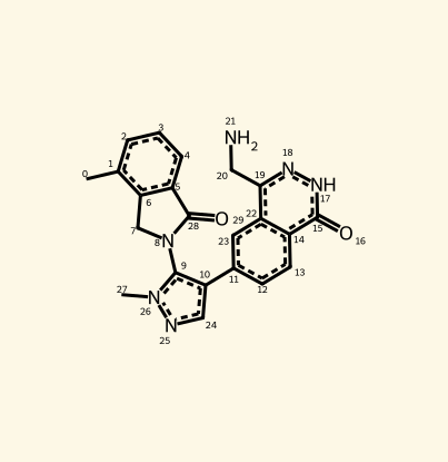 Cc1cccc2c1CN(c1c(-c3ccc4c(=O)[nH]nc(CN)c4c3)cnn1C)C2=O